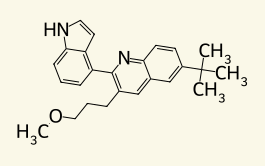 COCCCc1cc2cc(C(C)(C)C)ccc2nc1-c1cccc2[nH]ccc12